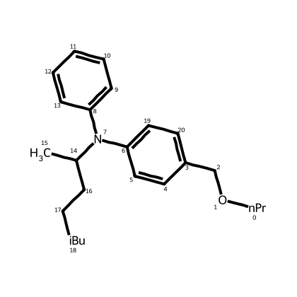 CCCOCc1ccc(N(c2ccccc2)C(C)CCC(C)CC)cc1